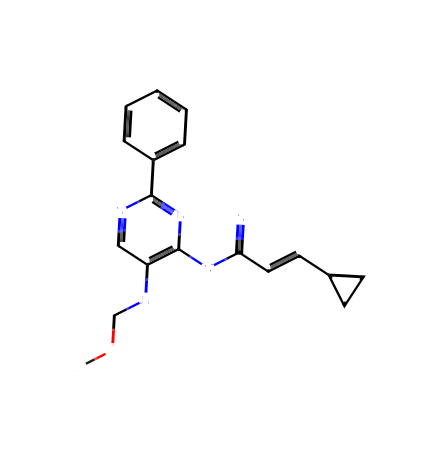 CCOCNc1cnc(-c2ccccc2)nc1NC(=N)/C=C/C1CC1